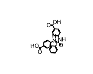 O=C(O)c1ccc(NP(=O)(Nc2ccc(C(=O)O)cc2)c2ccccc2)cc1